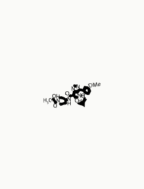 COc1ccc(OCC2CC2)c(-c2ncnc3c(C(=O)NC4CCN(C(=O)[C@H](C)O)CC4)c(C)[nH]c23)c1